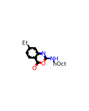 CCCCCCCCNc1nc2cc(CC)ccc2c(=O)o1